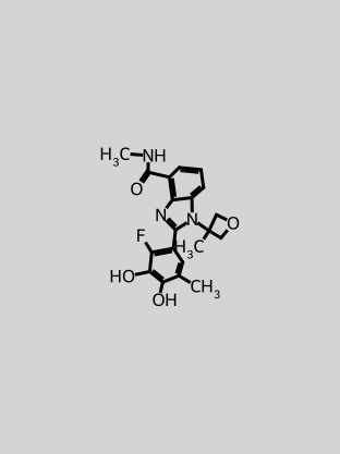 CNC(=O)c1cccc2c1nc(-c1cc(C)c(O)c(O)c1F)n2C1(C)COC1